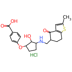 Cc1cc2c(s1)CCC(CNC1CCC(Oc3ccc(C(=O)O)cc3)C1O)C2=O.Cl